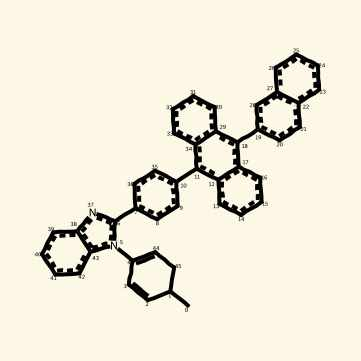 CC1C=CC(n2c(-c3ccc(-c4c5ccccc5c(-c5ccc6ccccc6c5)c5ccccc45)cc3)nc3ccccc32)=CC1